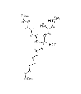 CCCCCCCCCCCCCCCCOCC(COCC(O)CNC(C)C)OCCCCCCCCCCCCCCCC.Cl